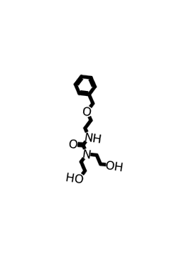 O=C(NCCOCc1ccccc1)N(CCO)CCO